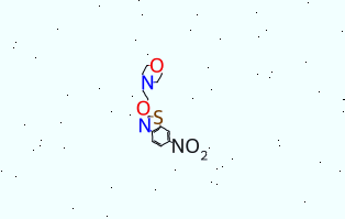 O=[N+]([O-])c1ccc2nc(OCCN3CCOCC3)sc2c1